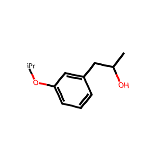 CC(O)Cc1cccc(OC(C)C)c1